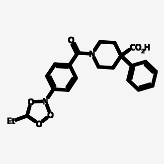 CCC1OON(c2ccc(C(=O)N3CCC(C(=O)O)(c4ccccc4)CC3)cc2)O1